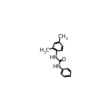 Cc1ccc(NC(=O)Nc2ccccc2)c(C)c1